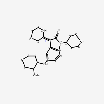 COC1COCCC1Nc1ccc2c(c1)/C(=C1\COCCN1)C(=O)N2C1CCOCC1